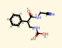 N#CCNC(=O)C(CNC(=O)O)c1ccccc1